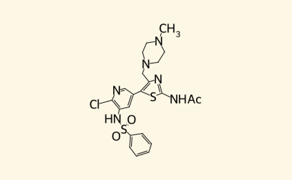 CC(=O)Nc1nc(CN2CCN(C)CC2)c(-c2cnc(Cl)c(NS(=O)(=O)c3ccccc3)c2)s1